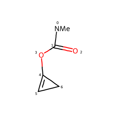 CNC(=O)OC1=CC1